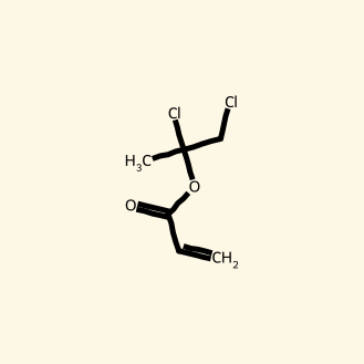 C=CC(=O)OC(C)(Cl)CCl